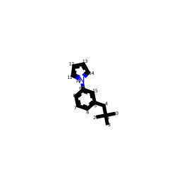 CC(C)(C)Cc1cccc(-n2cccc2)c1